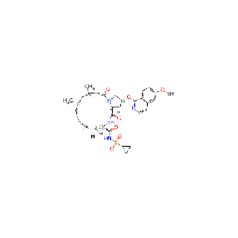 CC(C)Oc1ccc2c(O[C@@H]3C[C@H]4C(=O)N[C@]5(C(=O)NS(=O)(=O)C6CC6)C[C@H]5/C=C\CC[C@H](C)C[C@@H](C)CC(=O)N4C3)nccc2c1